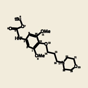 COc1cc(NC(=O)OC(C)(C)C)cc(OC)c1OCCCN1CCOCC1